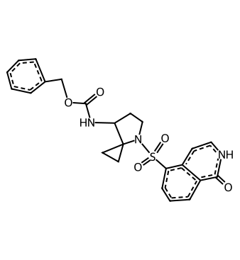 O=C(NC1CCN(S(=O)(=O)c2cccc3c(=O)[nH]ccc23)C12CC2)OCc1ccccc1